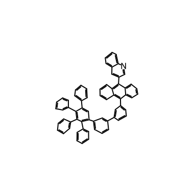 c1ccc(-c2cc(-c3cccc(-c4cccc(-c5c6ccccc6c(-c6cnc7ccccc7c6)c6ccccc56)c4)c3)c(-c3ccccc3)c(-c3ccccc3)c2-c2ccccc2)cc1